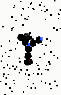 CC1(C)c2ccccc2-c2ccc(N(c3ccc(-c4ccncc4)cc3)c3ccc(-c4ccc(C56CC7CC(CC(C7)C5)C6)cc4)cc3)cc21